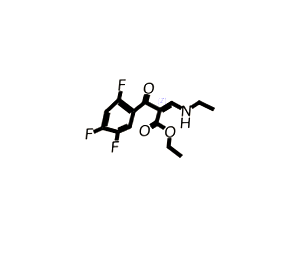 CCN/C=C(\C(=O)OCC)C(=O)c1cc(F)c(F)cc1F